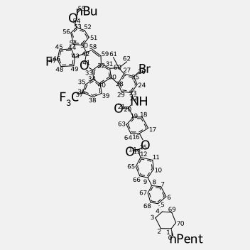 CCCCC[C@H]1CC[C@H](c2ccc(-c3ccc(C(=O)Oc4ccc(C(=O)Nc5cc(Br)c6c(c5)-c5c(c7c(c8cc(C(F)(F)F)ccc58)OC(c5ccc(F)cc5)(c5ccc(OCCCC)cc5)C=C7)C6(C)C)cc4)cc3)cc2)CC1